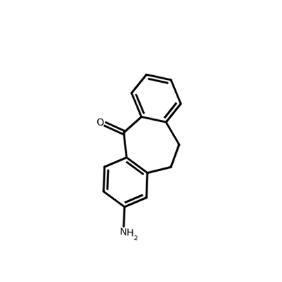 Nc1ccc2c(c1)CCc1ccccc1C2=O